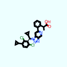 CC(C(=O)O)c1ccccc1-c1cc2c(cn1)nnn2[C@@H](c1c(Cl)ccc(C2CC2)c1Cl)C1CC1